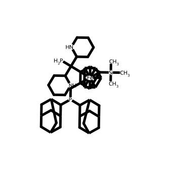 C[Si](C)(C)[C]12[CH]3[C]4(CP(C5C6CC7CC(C6)CC5C7)C5C6CC7CC(C6)CC5C7)[C]5(C(P)(C6CCCCN6)C6CCCCN6)[CH]1[Fe]34521678[CH]2[CH]1[CH]6[CH]7[CH]28